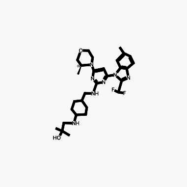 Cc1ccc2nc(C(F)F)n(-c3cc(N4CCOC[C@@H]4C)nc(NCC4CCC(NCC(C)(C)O)CC4)n3)c2c1